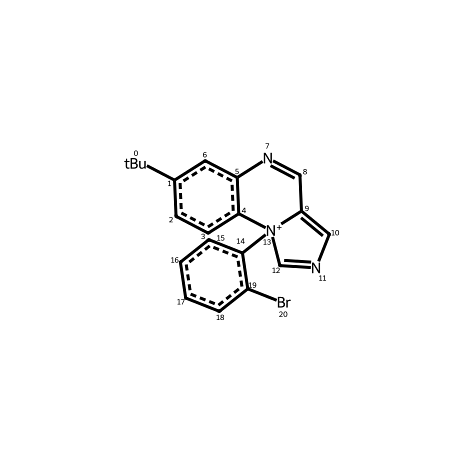 CC(C)(C)c1ccc2c(c1)N=CC1=CN=C[N+]12c1ccccc1Br